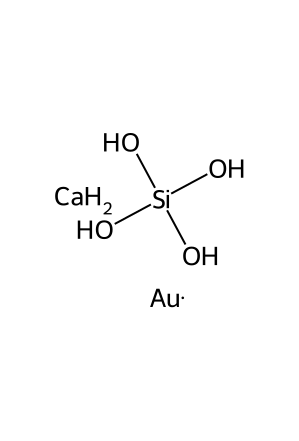 O[Si](O)(O)O.[Au].[CaH2]